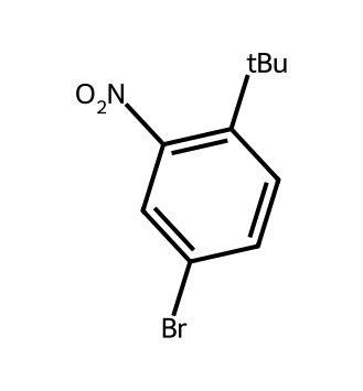 [CH2]C(C)(C)c1ccc(Br)cc1[N+](=O)[O-]